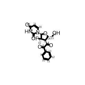 C[C@@]1(F)[C@H](C(=O)C(=O)c2ccccc2)[C@@H](CO)O[C@H]1n1ccc(=O)[nH]c1=O